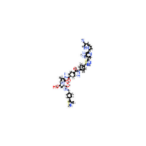 CNc1cc(-c2ccc3cc(C#N)cnn23)ncc1-c1nnc(C23CCC(NC(=O)C4CCC(C(=O)N[C@H](C(=O)N5C[C@H](O)C[C@H]5C(=O)NCc5ccc(-c6scnc6C)cc5)C(C)(C)C)CC4)(CC2)CC3)s1